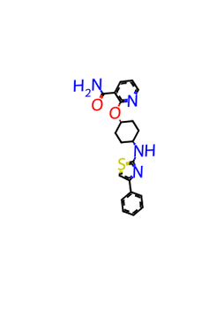 NC(=O)c1cccnc1O[C@H]1CC[C@H](Nc2nc(-c3ccccc3)cs2)CC1